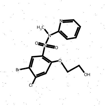 CN(c1ccccn1)S(=O)(=O)c1cc(Br)c(Cl)cc1OCCO